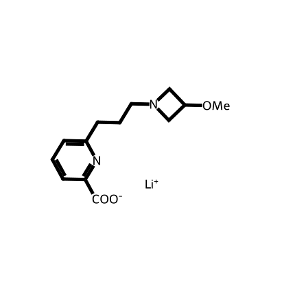 COC1CN(CCCc2cccc(C(=O)[O-])n2)C1.[Li+]